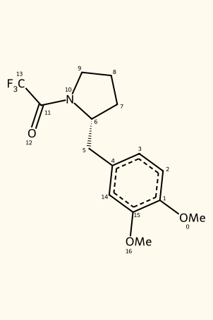 COc1ccc(C[C@H]2CCCN2C(=O)C(F)(F)F)cc1OC